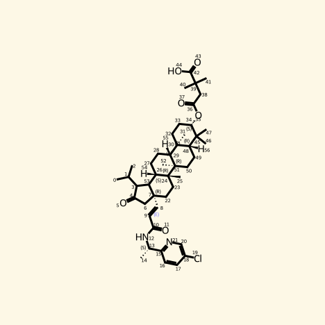 CC(C)C1C(=O)C[C@]2(/C=C/C(=O)N[C@@H](C)c3ccc(Cl)cn3)CC[C@]3(C)[C@@H](CC[C@@H]4[C@@]5(C)CC[C@H](OC(=O)CC(C)(C)C(=O)O)C(C)(C)[C@@H]5CC[C@]43C)C12